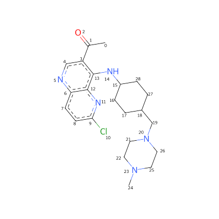 CC(=O)c1cnc2ccc(Cl)nc2c1NC1CCC(CN2CCN(C)CC2)CC1